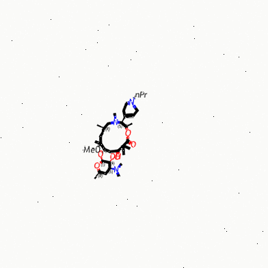 CCCN1CC=C([C@H]2[C@@H](C)OC(=O)C(C)(C)C(=O)C[C@@H](O[C@@H]3O[C@H](C)C[C@H](N(C)C)[C@H]3O)[C@](C)(OC)C[C@@H](C)CN2C)CC1